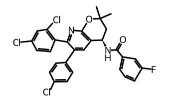 CC1(C)C[C@@H](NC(=O)c2cccc(F)c2)c2cc(-c3ccc(Cl)cc3)c(-c3ccc(Cl)cc3Cl)nc2O1